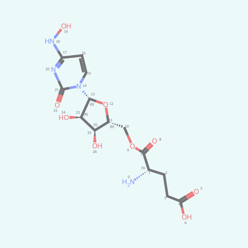 N[C@@H](CCC(=O)O)C(=O)OC[C@H]1O[C@@H](n2ccc(NO)nc2=O)[C@H](O)[C@@H]1O